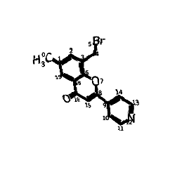 Cc1cc(CBr)c2oc(-c3ccncc3)cc(=O)c2c1